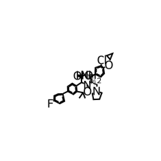 CC1(C)ON([C@H](CN2CCCC2)[C@H](O)c2ccc(OC3CC3)c(Cl)c2)C(C(N)=O)c2ccc(-c3ccc(F)cc3)cc21